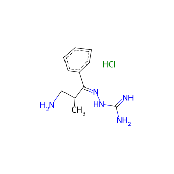 CC(CN)C(=NNC(=N)N)c1ccccc1.Cl